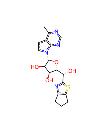 Cc1ncnc2c1ccn2[C@@H]1O[C@H]([C@H](O)c2nc3c(s2)CCC3)[C@@H](O)[C@H]1O